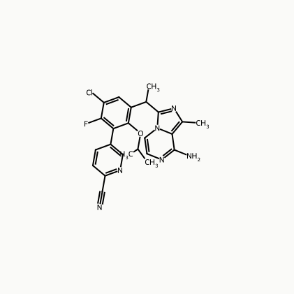 Cc1nc(C(C)c2cc(Cl)c(F)c(-c3ccc(C#N)nc3)c2OC(C)C)n2ccnc(N)c12